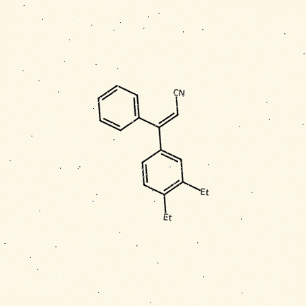 CCc1ccc(C(=CC#N)c2ccccc2)cc1CC